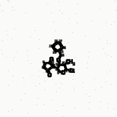 CC[C@H]1OC[C@@H](N2C(=O)C=CC2=O)[C@@H](OCc2ccccc2)[C@H]1C